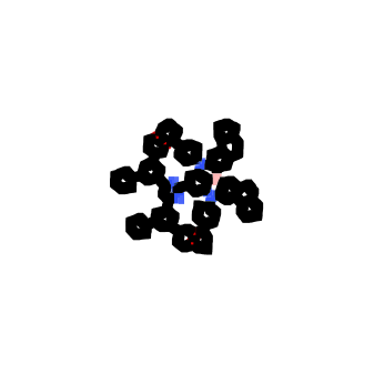 c1ccc(-c2ccc(N3c4cc5c(ccc6ccccc65)cc4B4c5cc6ccc7ccccc7c6cc5N(c5ccc(-c6ccccc6)cc5)c5cc(-c6nc(-c7cc(-c8ccccc8)cc(-c8ccccc8)c7)cc(-c7cc(-c8ccccc8)cc(-c8ccccc8)c7)n6)cc3c54)cc2)cc1